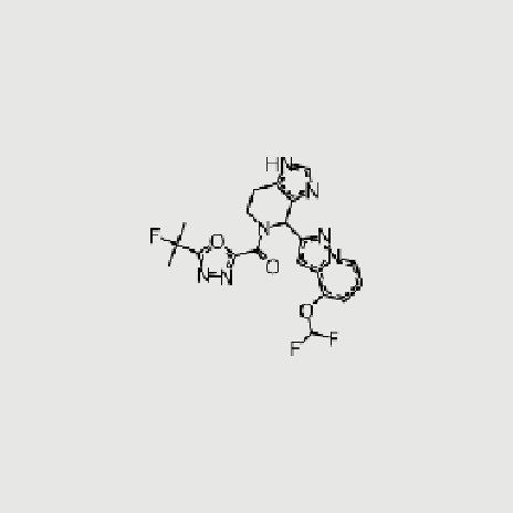 CC(C)(F)c1nnc(C(=O)N2CCc3[nH]cnc3C2c2cc3c(OC(F)F)cccn3n2)o1